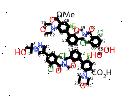 CC(C)(CO)n1cc(-c2cc(Cl)c(C(=O)N3COc4c(cccc4-c4cc(N5CCOCC5)c(C(=O)O)cc4F)C3)c(Cl)c2)cn1.COC(=O)c1cc(F)c(-c2cccc3c2OCN(C(=O)c2c(Cl)cc(B(O)O)cc2Cl)C3)cc1N1CCOCC1